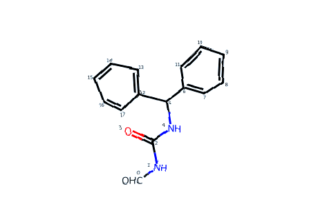 O=CNC(=O)NC(c1ccccc1)c1ccccc1